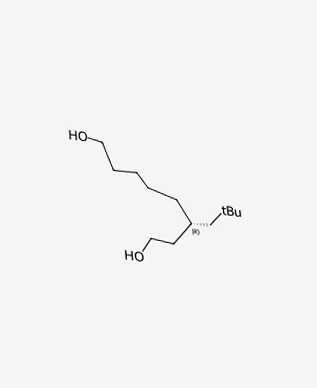 CC(C)(C)C[C@H](CCO)CCCCCO